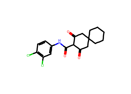 O=C1CC2(CCCCC2)CC(=O)C1C(=O)Nc1ccc(Cl)c(Cl)c1